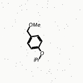 COCc1ccc(OC(C)C)cc1